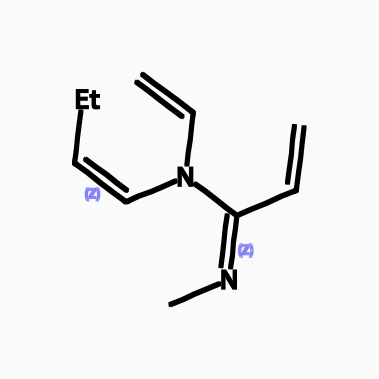 C=C/C(=N/C)N(C=C)/C=C\CC